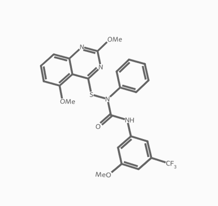 COc1cc(NC(=O)N(Sc2nc(OC)nc3cccc(OC)c23)c2ccccc2)cc(C(F)(F)F)c1